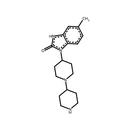 Cc1ccc2c(c1)[nH]c(=O)n2C1CCN(C2CCNCC2)CC1